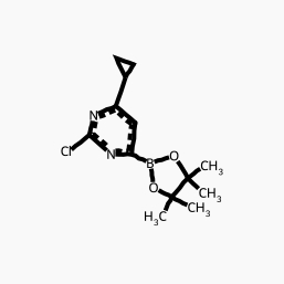 CC1(C)OB(c2cc(C3CC3)nc(Cl)n2)OC1(C)C